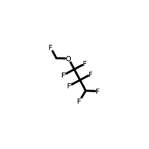 FCOC(F)(F)C(F)(F)C(F)F